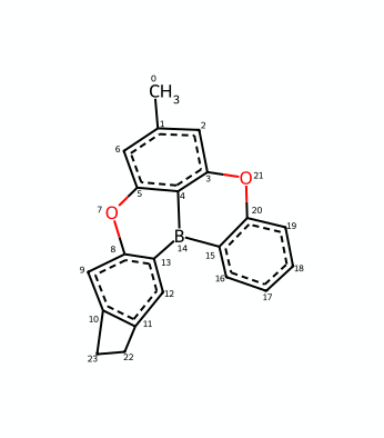 Cc1cc2c3c(c1)Oc1cc4c(cc1B3c1ccccc1O2)CC4